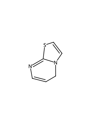 C1=CN=C2SC=CN2C1